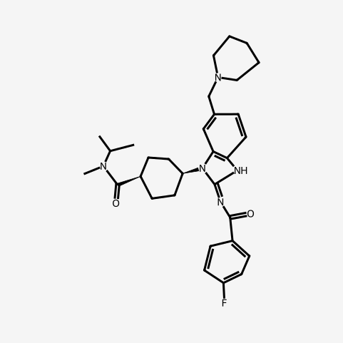 CC(C)N(C)C(=O)[C@H]1CC[C@@H](n2/c(=N/C(=O)c3ccc(F)cc3)[nH]c3ccc(CN4CCCCC4)cc32)CC1